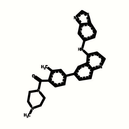 Cc1cc(-c2ccc3nccc(Nc4ccc5scnc5c4)c3c2)ccc1C(=O)N1CCN(C)CC1